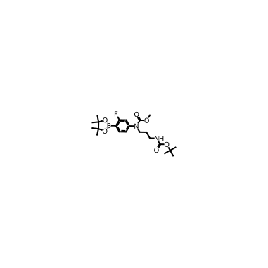 COC(=O)N(CCCNC(=O)OC(C)(C)C)c1ccc(B2OC(C)(C)C(C)(C)O2)c(F)c1